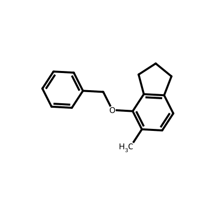 Cc1ccc2c(c1OCc1ccccc1)CCC2